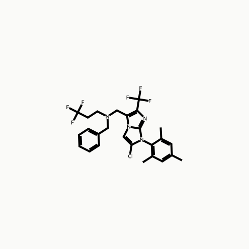 Cc1cc(C)c(-n2c(Cl)cn3c(CN(CCC(F)(F)F)Cc4ccccc4)c(C(F)(F)F)nc23)c(C)c1